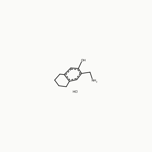 Cl.NCc1cc2c(cc1O)CCCC2